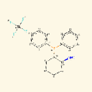 F[B-](F)(F)F.[NH3+][C@H]1CCCC[C@@H]1P(c1ccccc1)c1ccccc1